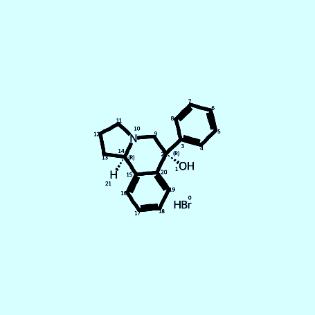 Br.O[C@@]1(c2ccccc2)CN2CCC[C@@H]2c2ccccc21